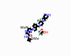 CNc1cc(N2CCc3c(CN4CCC(N5CC6(CCNCC6)C5)C(F)(F)C4)cccc32)nn2c(C(=O)N[C@@H]3CC[C@H]3OC)cnc12.O=C(O)C(F)(F)F